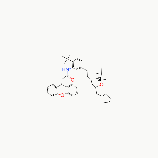 CC(C)(C)c1ccc(CCCCC(CC2CCCC2)O[Si](C)(C)C(C)(C)C)cc1NC(=O)CC1c2ccccc2Oc2ccccc21